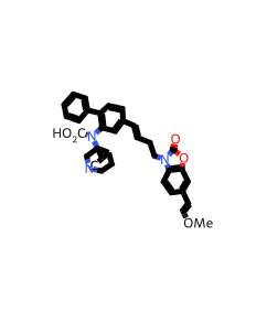 COC=Cc1ccc2c(c1)oc(=O)n2CCC=Cc1ccc(-c2ccccc2)c(N(C(=O)O)C2CN3CCC2CC3)c1